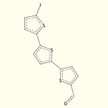 O=Cc1ccc(-c2ccc(-c3ccc(I)s3)s2)s1